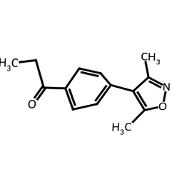 CCC(=O)c1ccc(-c2c(C)noc2C)cc1